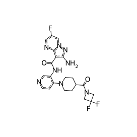 Nc1nn2cc(F)cnc2c1C(=O)Nc1cnccc1N1CCC(C(=O)N2CC(F)(F)C2)CC1